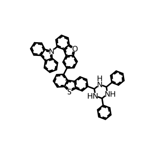 c1ccc(C2NC(c3ccccc3)NC(c3ccc4c(c3)sc3cccc(-c5ccc6oc7cccc(-n8c9ccccc9c9ccccc98)c7c6c5)c34)N2)cc1